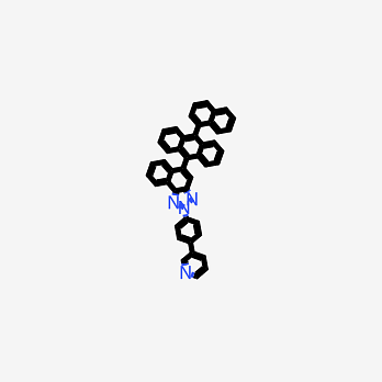 c1cncc(-c2ccc(-n3nc4cc(-c5c6ccccc6c(-c6cccc7ccccc67)c6ccccc56)c5ccccc5c4n3)cc2)c1